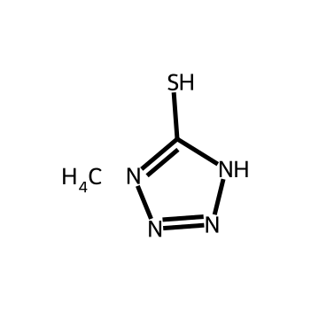 C.Sc1nnn[nH]1